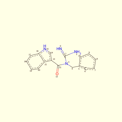 N=C(N)N(Cc1ccccc1)C(=O)c1c[nH]c2ccccc12